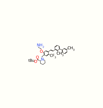 Cc1cccc(-c2cccc(/C=C/c3cc(OCCN)c(CN4CCCC[C@H]4C(=O)OC(C)(C)C)cc3C(F)(F)F)c2C)c1